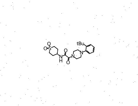 CC(C)(C)c1ccccc1N1CCN(C(=O)C(=O)NC2CCS(=O)(=O)CC2)CC1